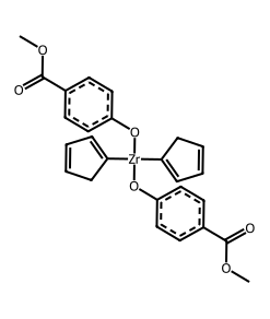 COC(=O)c1ccc([O][Zr]([O]c2ccc(C(=O)OC)cc2)([C]2=CC=CC2)[C]2=CC=CC2)cc1